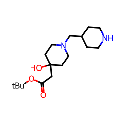 CC(C)(C)OC(=O)CC1(O)CCN(CC2CCNCC2)CC1